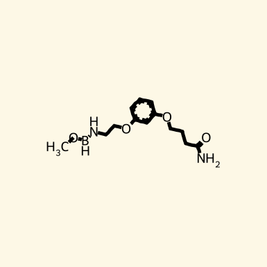 COBNCCOc1cccc(OCCCC(N)=O)c1